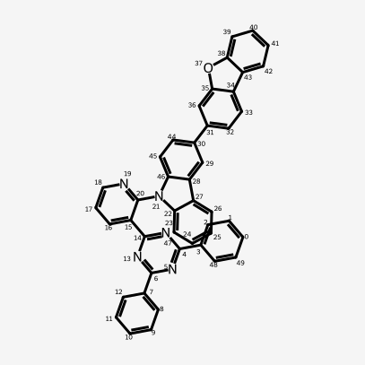 c1ccc(-c2nc(-c3ccccc3)nc(-c3cccnc3-n3c4ccccc4c4cc(-c5ccc6c(c5)oc5ccccc56)ccc43)n2)cc1